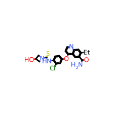 CCc1cc2nccc(Oc3ccc(NC(=S)N4CC(O)C4)c(Cl)c3)c2cc1C(N)=O